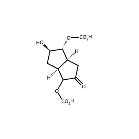 O=C(O)OC1C(=O)C[C@@H]2[C@@H](OC(=O)O)[C@H](O)C[C@H]12